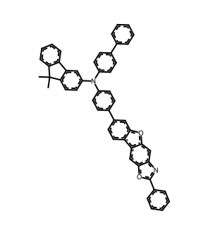 CC1(C)c2ccccc2-c2cc(N(c3ccc(-c4ccccc4)cc3)c3ccc(-c4ccc5c(c4)oc4cc6nc(-c7ccccc7)oc6cc45)cc3)ccc21